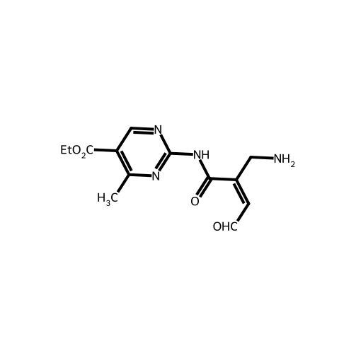 CCOC(=O)c1cnc(NC(=O)/C(=C\C=O)CN)nc1C